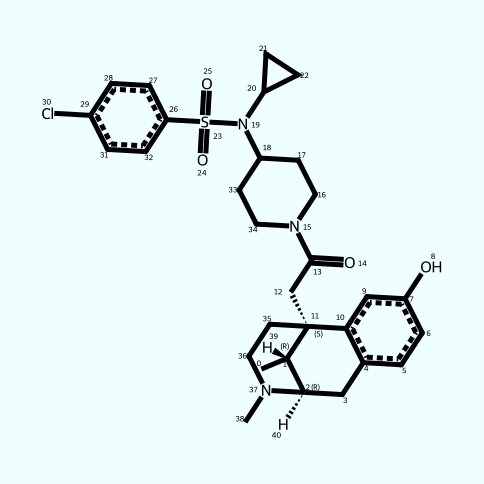 C[C@H]1[C@H]2Cc3ccc(O)cc3[C@]1(CC(=O)N1CCC(N(C3CC3)S(=O)(=O)c3ccc(Cl)cc3)CC1)CCN2C